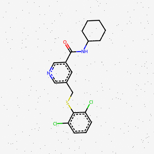 O=C(NC1CCCCC1)c1cncc(CSc2c(Cl)cccc2Cl)c1